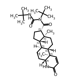 CC(C)(C)NC(=O)N(C(=O)[C@H]1CC[C@H]2[C@@H]3CC[C@H]4NC(=O)C=C[C@]4(C)[C@H]3CC[C@]12C)C(C)(C)C